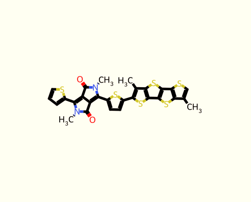 Cc1csc2c1sc1c3sc(-c4ccc(C5=C6C(=O)N(C)C(c7cccs7)=C6C(=O)N5C)s4)c(C)c3sc21